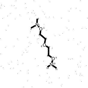 CN(C)OCCOCCON(C)C